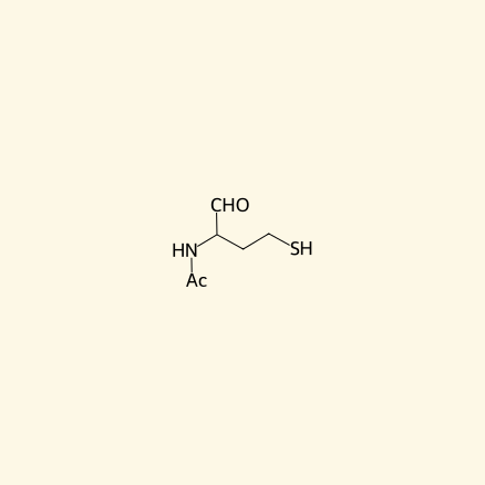 CC(=O)NC(C=O)CCS